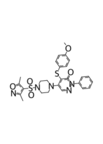 COc1ccc(Sc2c(N3CCN(S(=O)(=O)c4c(C)noc4C)CC3)cnn(-c3ccccc3)c2=O)cc1